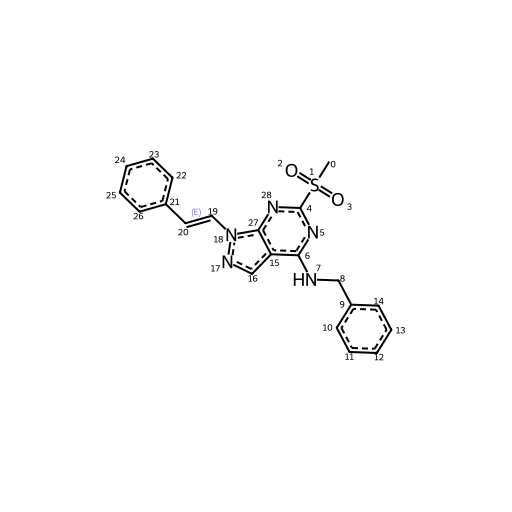 CS(=O)(=O)c1nc(NCc2ccccc2)c2cnn(/C=C/c3ccccc3)c2n1